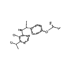 CC(Cl)c1ncnc(NC(C)c2ccc(OC(F)F)cc2)c1Cl